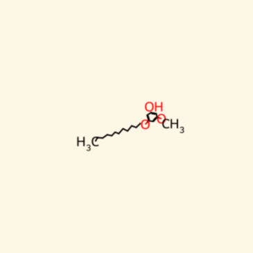 CCCCCCCCCCCCOc1cc(O)cc(OC)c1